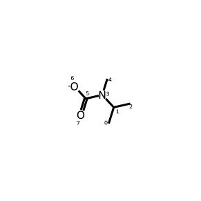 CC(C)N(C)C([O])=O